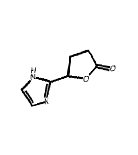 O=C1CCC(c2ncc[nH]2)O1